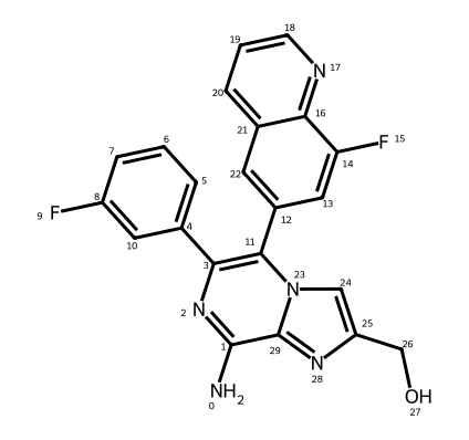 Nc1nc(-c2cccc(F)c2)c(-c2cc(F)c3ncccc3c2)n2cc(CO)nc12